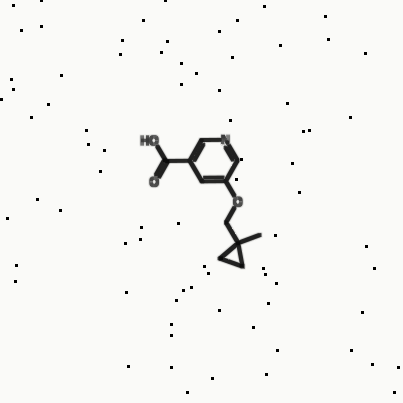 CC1(COc2cncc(C(=O)O)c2)CC1